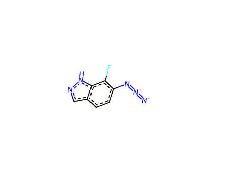 [N-]=[N+]=Nc1ccc2cn[nH]c2c1F